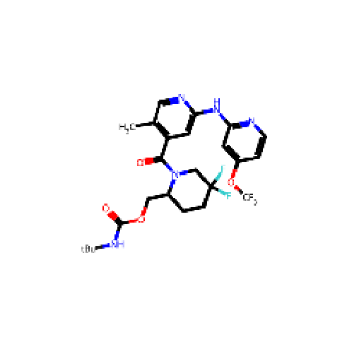 Cc1cnc(Nc2cc(OC(F)(F)F)ccn2)cc1C(=O)N1CC(F)(F)CCC1COC(=O)NC(C)(C)C